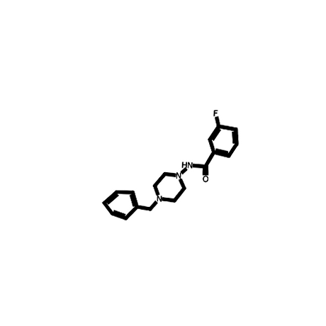 O=C(NN1CCN(Cc2ccccc2)CC1)c1cccc(F)c1